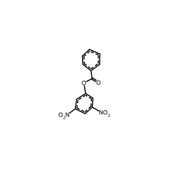 O=C(Oc1cc([N+](=O)[O-])cc([N+](=O)[O-])c1)c1ccccc1